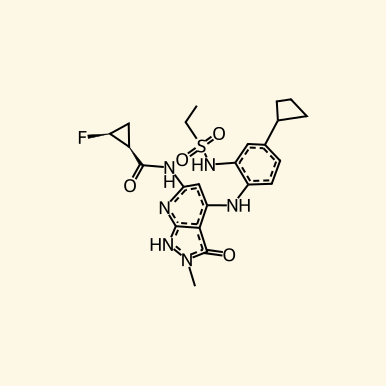 CCS(=O)(=O)Nc1cc(C2CCC2)ccc1Nc1cc(NC(=O)[C@@H]2C[C@@H]2F)nc2[nH]n(C)c(=O)c12